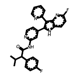 CC(C)C(C(=O)Nc1cc(-c2[nH]c3ccc(F)nc3c2-c2ccccn2)ccn1)c1ccc(F)cc1